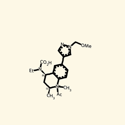 CCN(C(=O)O)[C@@H]1C[C@H](C)[N+](C)(C(C)=O)c2ccc(-c3cnn(COC)c3)cc21